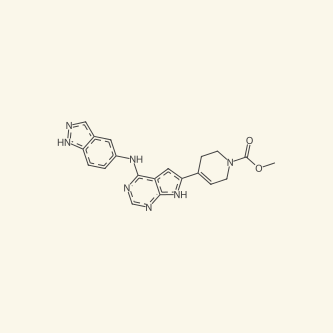 COC(=O)N1CC=C(c2cc3c(Nc4ccc5[nH]ncc5c4)ncnc3[nH]2)CC1